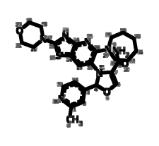 Cc1cc(C2OC=C(C(N)=O)N2c2cc3sc(N4CCOCC4)nc3nc2N2CCCCCC2)ccn1